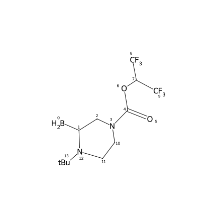 BC1CN(C(=O)OC(C(F)(F)F)C(F)(F)F)CCN1C(C)(C)C